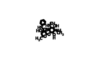 CN[C@@H]1[C@H](O)[C@H](NC)C2O[C@]3(O)C(OC2[C@H]1O)O[C@H](C)C[C@@]3(O)CNc1ccccc1